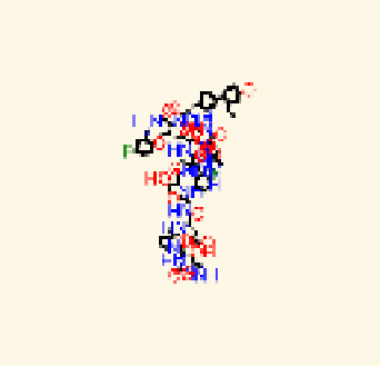 CCc1cc(OC)ccc1-c1ccc(C[C@H](NC(=O)[C@H](CC(=O)O)NC(=O)[C@H](Cc2c[nH]cn2)NC(=O)[C@@H](NC(=O)C(C)(Cc2ccccc2F)NC(=O)[C@@H](NC(=O)CNC(=O)[C@H](CCC(=O)O)NC(=O)C2(C)CCCN2C(=O)[C@H](Cc2c[nH]cn2)NC(=O)OC)[C@@H](C)O)[C@@H](C)O)C(=O)N[C@@H](CCOc2ccc(F)cc2C)C(N)=O)cc1